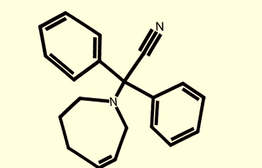 N#CC(c1ccccc1)(c1ccccc1)N1CC=CCCC1